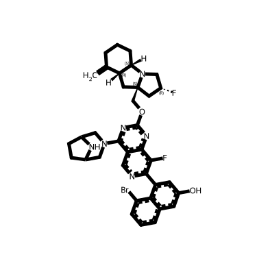 C=C1CCC[C@H]2[C@@H]1C[C@@]1(COc3nc(N4CC5CCC(C4)N5)c4cnc(-c5cc(O)cc6cccc(Br)c56)c(F)c4n3)C[C@@H](F)CN21